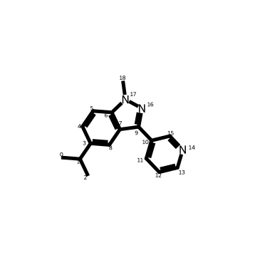 CC(C)c1ccc2c(c1)c(-c1cccnc1)nn2C